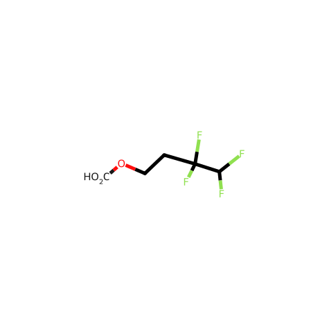 O=C(O)OCCC(F)(F)C(F)F